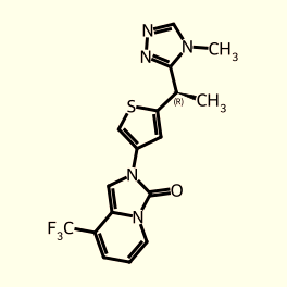 C[C@@H](c1cc(-n2cc3c(C(F)(F)F)cccn3c2=O)cs1)c1nncn1C